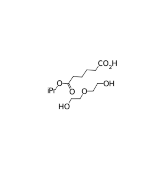 CC(C)OC(=O)CCCCC(=O)O.OCCOCCO